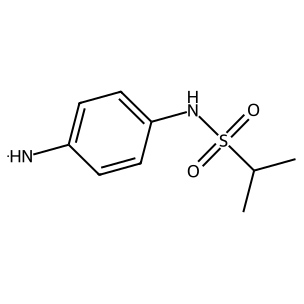 CC(C)S(=O)(=O)Nc1ccc([NH])cc1